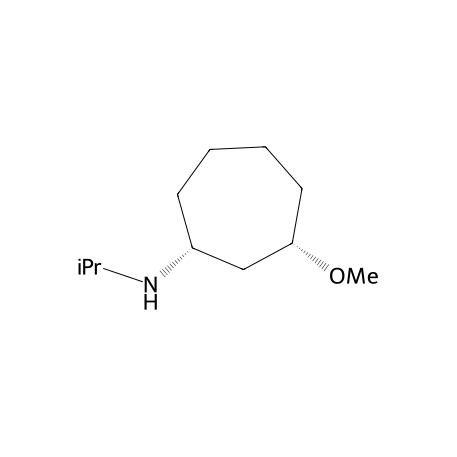 CO[C@H]1CCCC[C@@H](NC(C)C)C1